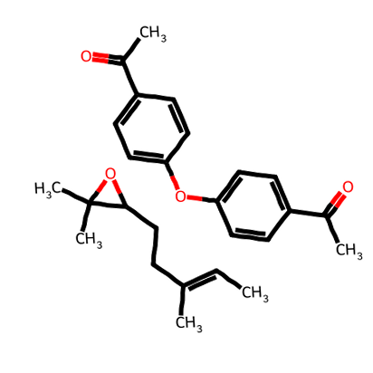 CC(=O)c1ccc(Oc2ccc(C(C)=O)cc2)cc1.CC=C(C)CCC1OC1(C)C